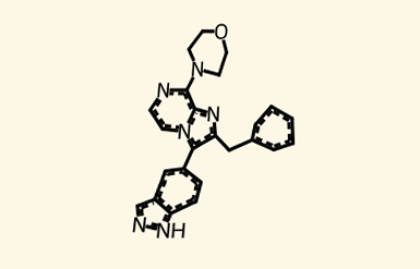 c1ccc(Cc2nc3c(N4CCOCC4)nccn3c2-c2ccc3[nH]ncc3c2)cc1